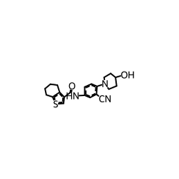 N#Cc1cc(NC(=O)c2csc3c2CCCC3)ccc1N1CCC(O)CC1